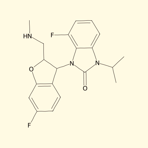 CNCC1Oc2cc(F)ccc2C1n1c(=O)n(C(C)C)c2cccc(F)c21